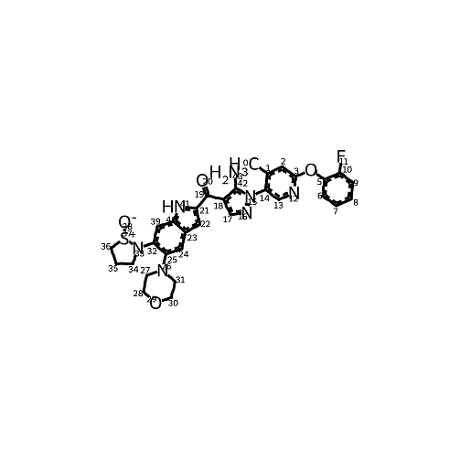 Cc1cc(Oc2ccccc2F)ncc1-n1ncc(C(=O)c2cc3cc(N4CCOCC4)c(N4CCC[S+]4[O-])cc3[nH]2)c1N